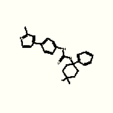 Cc1cc(-c2ccc(NC(=O)NC3(c4ccccc4)CCC(F)(F)CC3)cc2)ccn1